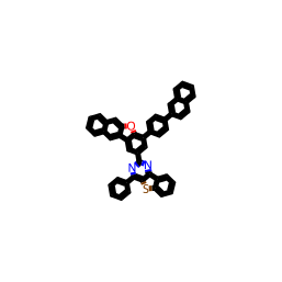 c1ccc(-c2nc(-c3cc(-c4ccc(-c5ccc6ccccc6c5)cc4)c4oc5cc6ccccc6cc5c4c3)nc3c2sc2ccccc23)cc1